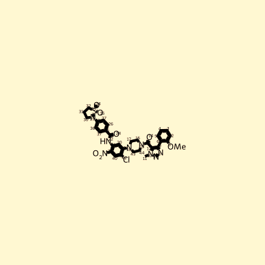 COc1ccccc1-c1nnn(C)c1C(=O)N1CCN(c2cc(NC(=O)c3ccc(N4CCCS4(=O)=O)cc3)c([N+](=O)[O-])cc2Cl)CC1